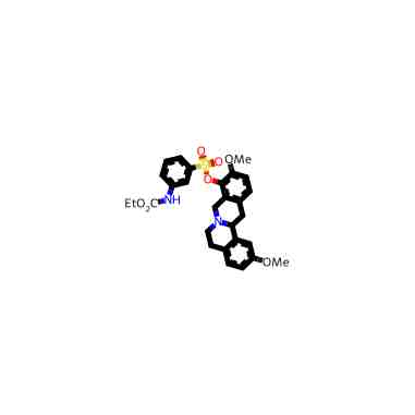 CCOC(=O)Nc1cccc(S(=O)(=O)Oc2c(OC)ccc3c2CN2CCc4ccc(OC)cc4C2C3)c1